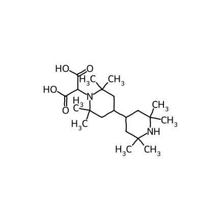 CC1(C)CC(C2CC(C)(C)N(C(C(=O)O)C(=O)O)C(C)(C)C2)CC(C)(C)N1